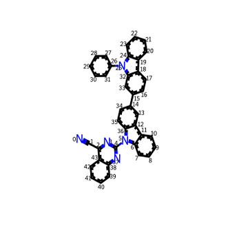 N#Cc1nc(-n2c3ccccc3c3cc(-c4ccc5c6ccccc6n(-c6ccccc6)c5c4)ccc32)nc2ccccc12